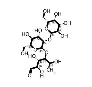 C[C@H](O)[C@H](O[C@H]1O[C@H](CO)[C@@H](O)[C@H](O)[C@@H]1O[C@H]1O[C@H](CO)[C@H](O)[C@H](O)[C@H]1O)[C@@H](O)[C@@H](O)C=O